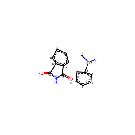 CN(C)c1ccccc1.O=C1NC(=O)c2ccccc21